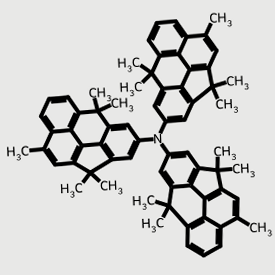 Cc1cc2c3c4c(cccc14)C(C)(C)c1cc(N(c4cc5c6c(c4)C(C)(C)c4cccc7c(C)cc(c-6c47)C5(C)C)c4cc5c6c(c4)C(C)(C)c4cccc7c(C)cc(c-6c47)C5(C)C)cc(c1-3)C2(C)C